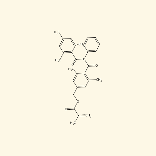 C=C(C)C(=O)OCc1cc(C)c(C(=O)P(C(=O)c2c(C)cc(C)cc2C)c2ccccc2)c(C)c1